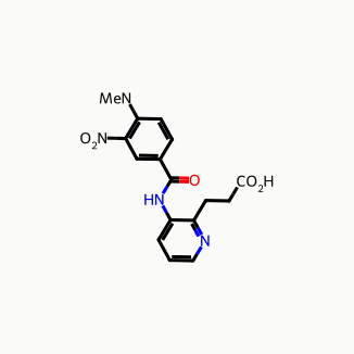 CNc1ccc(C(=O)Nc2cccnc2CCC(=O)O)cc1[N+](=O)[O-]